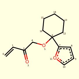 C=CC(=O)COC1(c2ccco2)CCCCC1